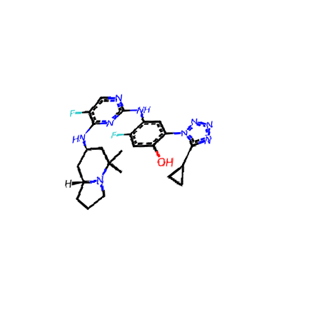 CC1(C)C[C@H](Nc2nc(Nc3cc(-n4nnnc4C4CC4)c(O)cc3F)ncc2F)C[C@H]2CCCN21